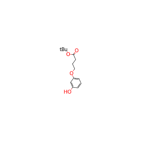 CC(C)(C)OC(=O)CCCOc1cccc(O)c1